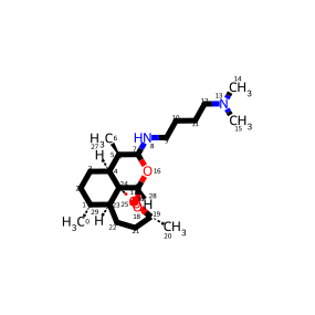 C[C@@H]1CC[C@H]2[C@@H](C)C(NCCCCN(C)C)O[C@@H]3O[C@]4(C)CC[C@@H]1[C@]32OO4